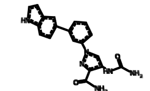 NC(=O)Nc1cn(-c2cccc(-c3ccc4[nH]ccc4c3)c2)nc1C(N)=O